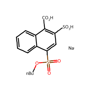 CCCCOS(=O)(=O)c1cc(S(=O)(=O)O)c(C(=O)O)c2ccccc12.[Na]